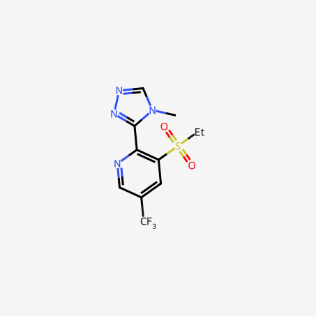 CCS(=O)(=O)c1cc(C(F)(F)F)cnc1-c1nncn1C